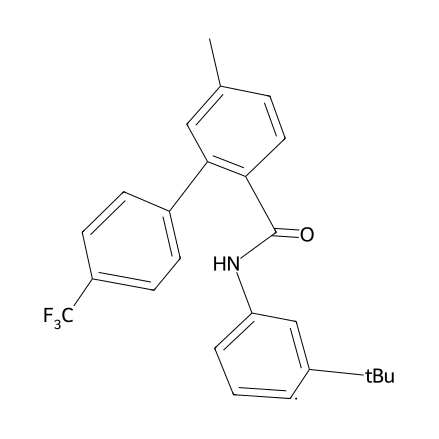 Cc1ccc(C(=O)Nc2cc[c]c(C(C)(C)C)c2)c(-c2ccc(C(F)(F)F)cc2)c1